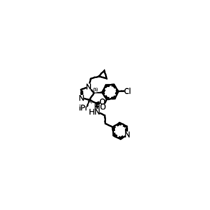 CC(C)[C@@]1(C(=O)NCCc2ccncc2)N=CN(CC2CC2)[C@H]1c1ccc(Cl)cc1O